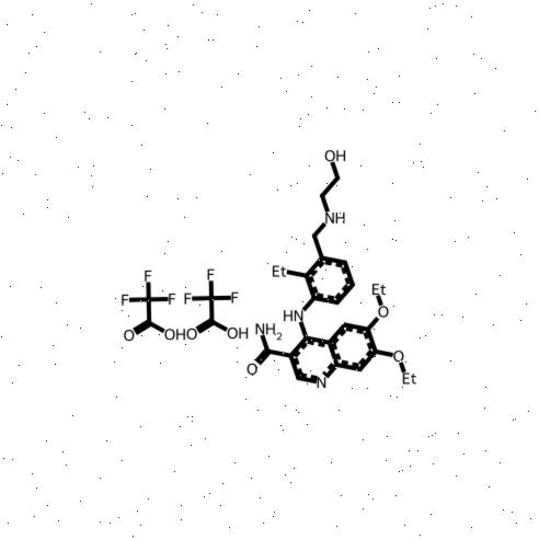 CCOc1cc2ncc(C(N)=O)c(Nc3cccc(CNCCO)c3CC)c2cc1OCC.O=C(O)C(F)(F)F.O=C(O)C(F)(F)F